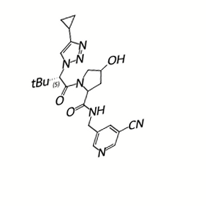 CC(C)(C)[C@@H](C(=O)N1CC(O)CC1C(=O)NCc1cncc(C#N)c1)n1cc(C2CC2)nn1